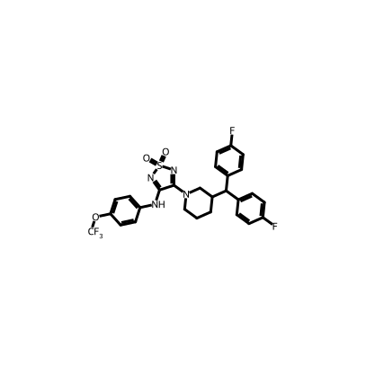 O=S1(=O)N=C(Nc2ccc(OC(F)(F)F)cc2)C(N2CCCC(C(c3ccc(F)cc3)c3ccc(F)cc3)C2)=N1